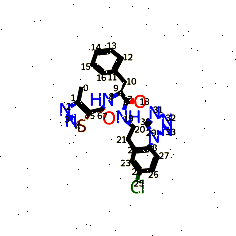 Cc1nnsc1C(=O)N[C@@H](Cc1ccccc1)C(=O)NCCc1cc(Cl)ccc1-n1cnnn1